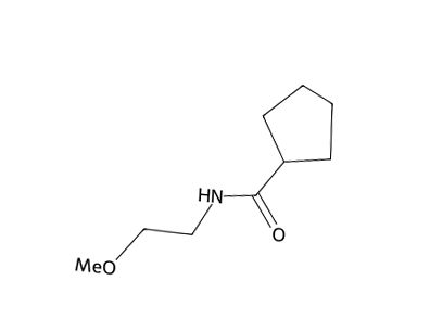 COCCNC(=O)C1CCCC1